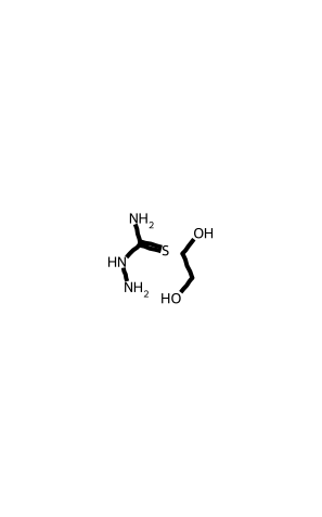 NNC(N)=S.OCCO